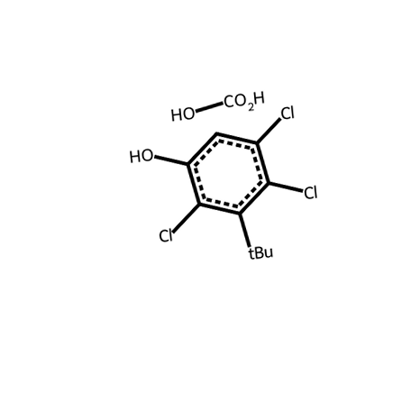 CC(C)(C)c1c(Cl)c(O)cc(Cl)c1Cl.O=C(O)O